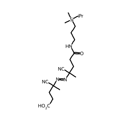 CC(C)[Si](C)(C)CCCNC(=O)CCC(C)(C#N)N=NC(C)(C#N)CCC(=O)O